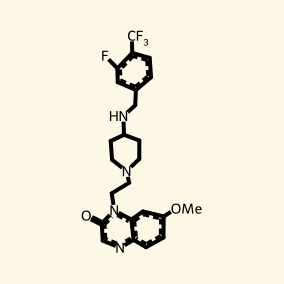 COc1ccc2ncc(=O)n(CCN3CCC(NCc4ccc(C(F)(F)F)c(F)c4)CC3)c2c1